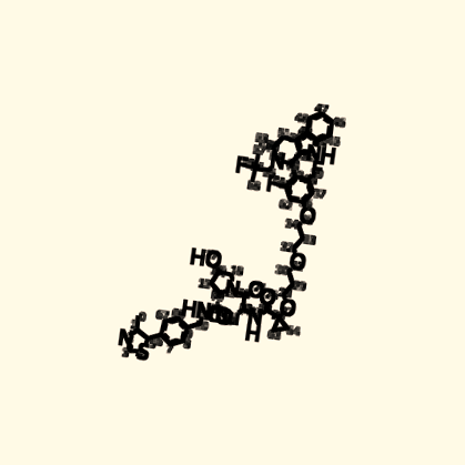 CC1N=CSC1c1ccc(CNC(=O)[C@@H]2C[C@@H](O)CN2C(=O)[C@@H](NC(=O)C2(OCCCOCCCOc3cc(F)c([C@@H]4c5[nH]c6ccccc6c5C[C@@H](C)N4CC(C)(C)F)c(F)c3)CC2)C(C)(C)C)cc1